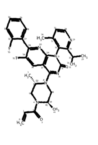 C=CC(=O)N1C[C@H](C)N(c2nc(=O)n(-c3c(C)ccnc3C(C)C)c3nc(-c4ccccc4F)c(F)cc23)C[C@H]1C